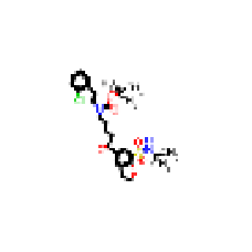 CC(C)NS(=O)(=O)c1cc(C(=O)CCCCN(CCc2ccccc2Cl)C(=O)OC(C)(C)C)cc2c1OCC2